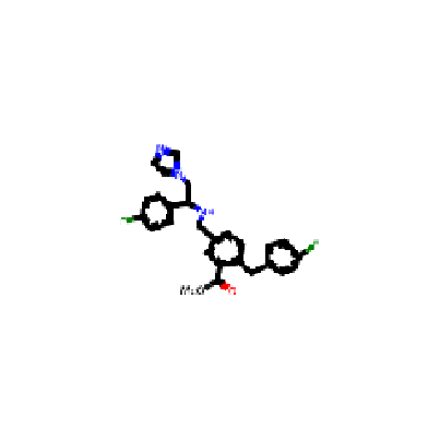 COC(=O)c1cc(CNC(Cn2ccnc2)c2ccc(F)cc2)ccc1Cc1ccc(F)cc1